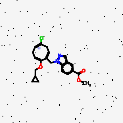 COC(=O)c1ccc2c(cnn2CC2=CC/C(Cl)=C\CC=C2OCC2CC2)c1